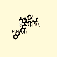 CC[C@H](C)[C@H](N)C(=O)NCc1ncc(C(=O)C(C[C@H](O)[C@@H](N)CC2CCCCC2)C(C)C)c(C(=O)[C@@H](N)C(C)C)c1C(=O)N1CCOCC1